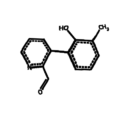 Cc1cccc(-c2cccnc2C=O)c1O